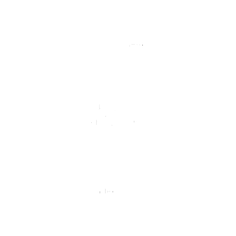 CCCCCCc1ccc(C2CCC3(CC2)C(=O)C2(CCC(c4ccc(CCCCCC)cc4)CC2)C3(Cl)Cl)cc1